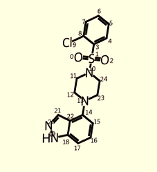 O=S(=O)(c1ccccc1Cl)N1CCN(c2cccc3[nH]ncc23)CC1